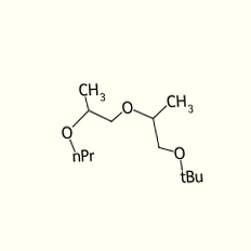 CCCOC(C)COC(C)COC(C)(C)C